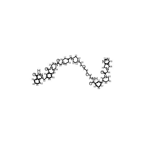 O=C(NCCOCCOCCN1CCN(CC2CCN(CC(=O)N3CCN(C(=O)c4cc(Cc5n[nH]c(=O)c6ccccc56)ccc4F)CC3)CC2)CC1)c1cccc([C@H]2CCCN(C(=O)CN3Cc4cncnc4C3)C2)c1